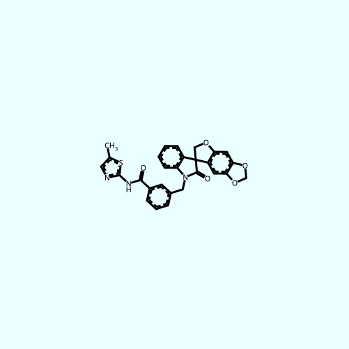 Cc1cnc(NC(=O)c2cccc(CN3C(=O)C4(COc5cc6c(cc54)OCO6)c4ccccc43)c2)s1